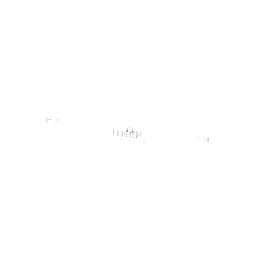 C=C.CCCCCCCCCCCCCCOCCCCCCCCCCCCCC.O